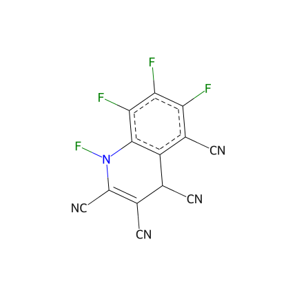 N#CC1=C(C#N)N(F)c2c(F)c(F)c(F)c(C#N)c2C1C#N